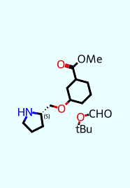 CC(C)(C)OC=O.COC(=O)C1CCCC(OC[C@@H]2CCCN2)C1